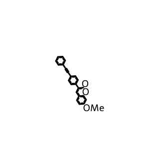 COc1ccc2cc(-c3ccc(C#Cc4ccccc4)cc3)c(=O)oc2c1